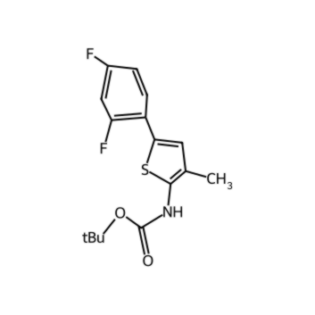 Cc1cc(-c2ccc(F)cc2F)sc1NC(=O)OC(C)(C)C